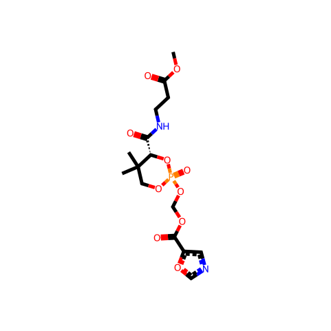 COC(=O)CCNC(=O)[C@@H]1OP(=O)(OCOC(=O)c2cnco2)OCC1(C)C